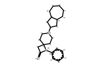 O=C1CC2(CCN(C3CC4CCCCCC4C3)CC2)N1c1ccccc1